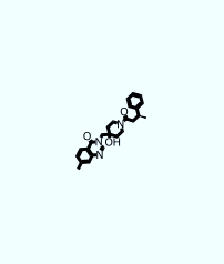 Cc1ccc2c(=O)n(CC3(O)CCN(C(=O)C[C@H](C)c4ccccc4)CC3)cnc2c1